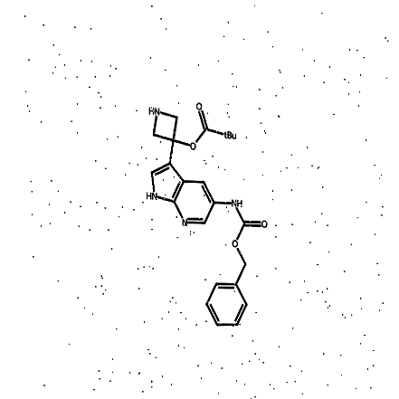 CC(C)(C)C(=O)OC1(c2c[nH]c3ncc(NC(=O)OCc4ccccc4)cc23)CNC1